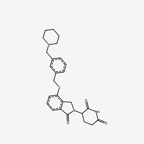 O=C1CCC(N2Cc3c(SCc4cccc(CN5CCCCC5)c4)cccc3C2=O)C(=O)N1